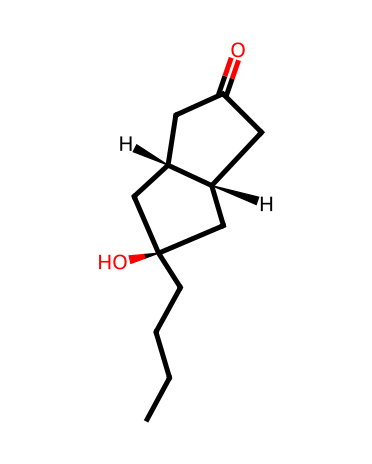 CCCC[C@@]1(O)C[C@H]2CC(=O)C[C@H]2C1